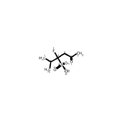 CC(=O)CC(F)(C(C)C)S(=O)(=O)O